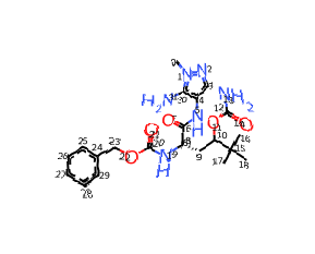 Cn1ncc(NC(=O)[C@H](CC(OC(N)=O)C(C)(C)C)NC(=O)OCc2ccccc2)c1N